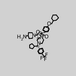 NC1CCN(C(=O)[C@H]2CN([C@H](c3ccc(C(F)(F)F)cc3)C3CCCC3)CCN2S(=O)(=O)c2ccc(OCC3CCCCC3)cc2)CC1